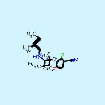 C/C=C(\C)CN[C@H]1C(C)(C)[C@H](Oc2ccc(C#N)c(Cl)c2)C1(C)C